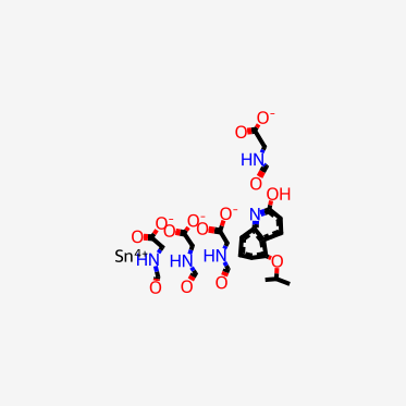 CC(C)Oc1cccc2nc(O)ccc12.O=CNCC(=O)[O-].O=CNCC(=O)[O-].O=CNCC(=O)[O-].O=CNCC(=O)[O-].[Sn+4]